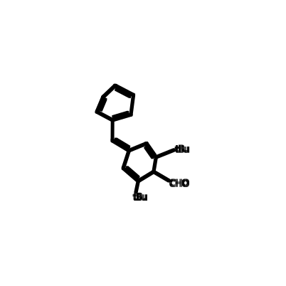 CC(C)(C)C1=CC(=Cc2ccccc2)C=C(C(C)(C)C)C1C=O